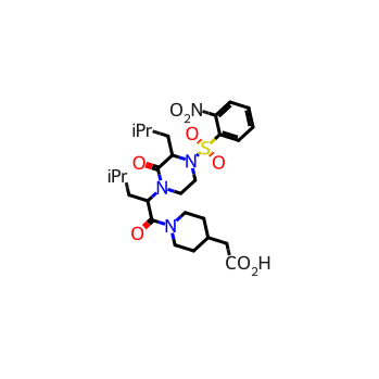 CC(C)CC(C(=O)N1CCC(CC(=O)O)CC1)N1CCN(S(=O)(=O)c2ccccc2[N+](=O)[O-])C(CC(C)C)C1=O